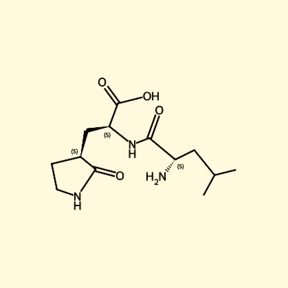 CC(C)C[C@H](N)C(=O)N[C@@H](C[C@@H]1CCNC1=O)C(=O)O